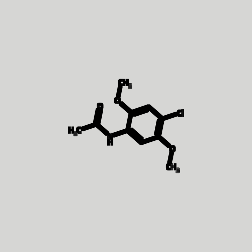 COc1cc(NC(C)=O)c(OC)cc1Cl